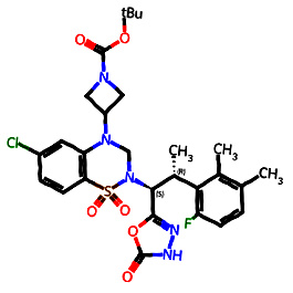 Cc1ccc(F)c([C@@H](C)[C@@H](c2n[nH]c(=O)o2)N2CN(C3CN(C(=O)OC(C)(C)C)C3)c3cc(Cl)ccc3S2(=O)=O)c1C